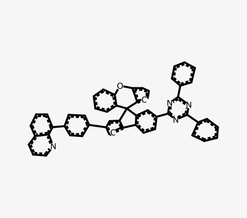 c1ccc(-c2nc(-c3ccccc3)nc(-c3ccc4c(c3)C3(c5ccccc5Oc5ccccc53)c3cc(-c5ccc(-c6cccc7cccnc67)cc5)ccc3-4)n2)cc1